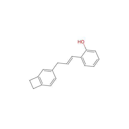 Oc1ccccc1/C=C/Cc1ccc2c(c1)CC2